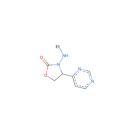 CCNN1C(=O)OCC1c1ccncn1